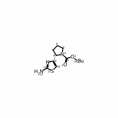 CC(C)(C)OC(=O)N1CCC[C@H]1c1csc(N)n1